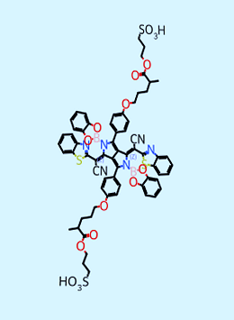 CC(CCCOc1ccc(-c2c3/c(=C(\C#N)c4nc5ccccc5s4)n(B4Oc5ccccc5O4)c(-c4ccc(OCCCC(C)C(=O)OCCCS(=O)(=O)O)cc4)c3/c(=C(\C#N)c3nc4ccccc4s3)n2B2Oc3ccccc3O2)cc1)C(=O)OCCCS(=O)(=O)O